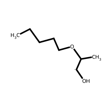 CCCCCOC(C)[CH]O